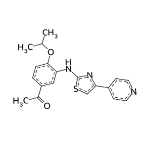 CC(=O)c1ccc(OC(C)C)c(Nc2nc(-c3ccncc3)cs2)c1